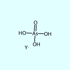 O=[As](O)(O)O.[Y]